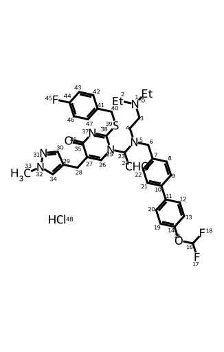 CCN(CC)CCN(Cc1ccc(-c2ccc(OC(F)F)cc2)cc1)C(C=O)n1cc(Cc2cnn(C)c2)c(=O)nc1SCc1ccc(F)cc1.Cl